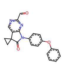 O=Cc1ncc2c(n1)N(c1ccc(Oc3ccccc3)cc1)C(=O)C21CC1